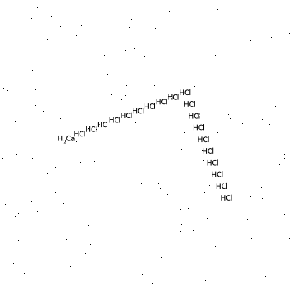 Cl.Cl.Cl.Cl.Cl.Cl.Cl.Cl.Cl.Cl.Cl.Cl.Cl.Cl.Cl.Cl.Cl.Cl.Cl.[CaH2]